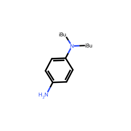 CCC(C)N(c1ccc(N)cc1)C(C)CC